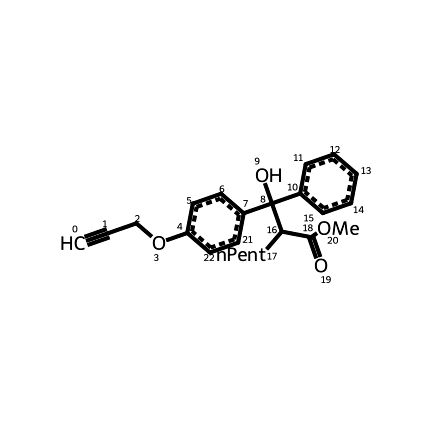 C#CCOc1ccc(C(O)(c2ccccc2)C(CCCCC)C(=O)OC)cc1